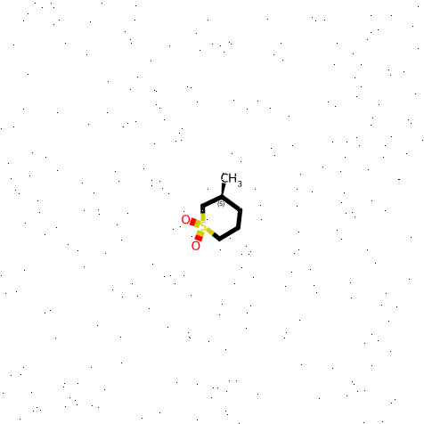 C[C@H]1CCCS(=O)(=O)C1